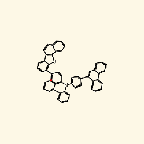 c1ccc(-c2ccccc2N(c2ccc(-c3cc4ccccc4c4ccccc34)cc2)c2ccc(-c3cccc4c3oc3c5ccccc5ccc43)cc2)cc1